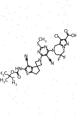 CSc1nc(N2Cc3c(Cl)c(C(=O)O)nn3CC(F)(F)C2)c(C#N)c(N2CC3(CCc4sc(NC(=O)OC(C)(C)C)c(C#N)c43)C2)n1